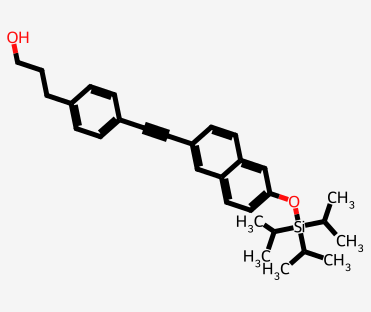 CC(C)[Si](Oc1ccc2cc(C#Cc3ccc(CCCO)cc3)ccc2c1)(C(C)C)C(C)C